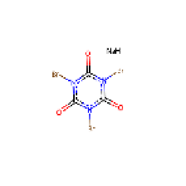 O=c1n(Br)c(=O)n(Br)c(=O)n1Br.[NaH]